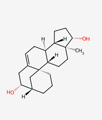 C[C@]12CC[C@H]3[C@@H](CC=C4C[C@@H](O)[C@H]5CCC[C@]43C5)[C@@H]1CC[C@@H]2O